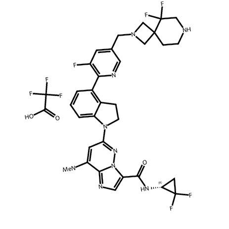 CNc1cc(N2CCc3c(-c4ncc(CN5CC6(CCNCC6(F)F)C5)cc4F)cccc32)nn2c(C(=O)N[C@@H]3CC3(F)F)cnc12.O=C(O)C(F)(F)F